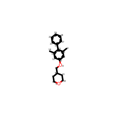 Cc1cc(OCC2CCOCC2)cc(C)c1-c1ccccc1